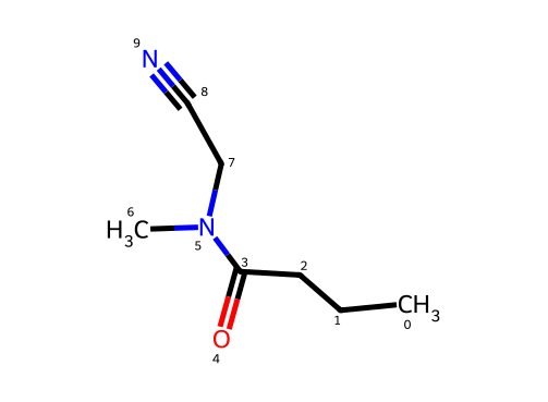 CCCC(=O)N(C)CC#N